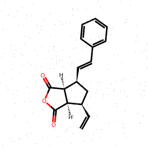 C=C[C@@H]1C[C@H](/C=C/c2ccccc2)[C@@H]2C(=O)OC(=O)[C@@H]21